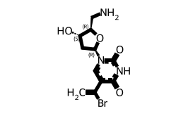 C=C(Br)c1cn([C@H]2C[C@H](O)[C@@H](CN)O2)c(=O)[nH]c1=O